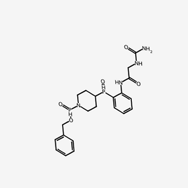 NC(=O)NCC(=O)Nc1ccccc1[PH](=O)C1CCN([PH](=O)OCc2ccccc2)CC1